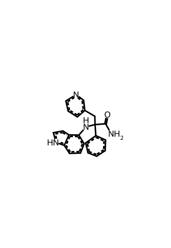 NC(=O)C(Cc1cccnc1)(Nc1cccc2[nH]ccc12)c1ccccc1